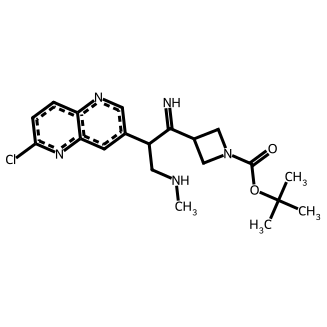 CNCC(C(=N)C1CN(C(=O)OC(C)(C)C)C1)c1cnc2ccc(Cl)nc2c1